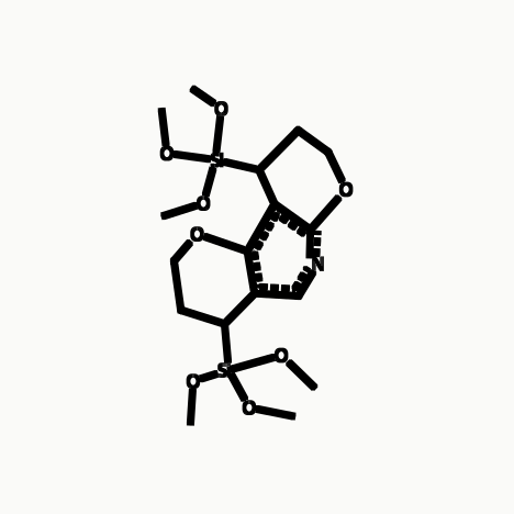 CO[Si](OC)(OC)C1CCOc2c1cnc1c2C([Si](OC)(OC)OC)CCO1